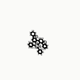 c1ccc(-c2nc(C3=C(c4cccc5c6c(oc45)CCCC6)CCc4oc5ccccc5c43)nc(-c3ccccc3)n2)cc1